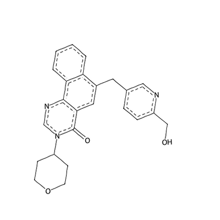 O=c1c2cc(Cc3ccc(CO)nc3)c3ccccc3c2ncn1C1CCOCC1